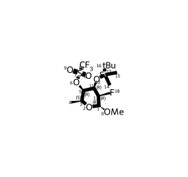 CO[C@@H]1O[C@@H](C)[C@@H](OS(=O)(=O)C(F)(F)F)[C@@H](O[Si](C)(C)C(C)(C)C)[C@H]1F